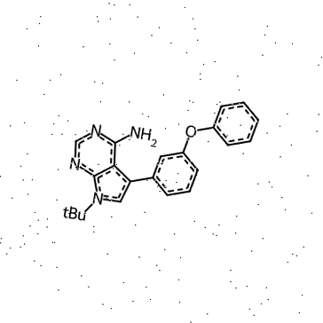 CC(C)(C)n1cc(-c2cccc(Oc3ccccc3)c2)c2c(N)ncnc21